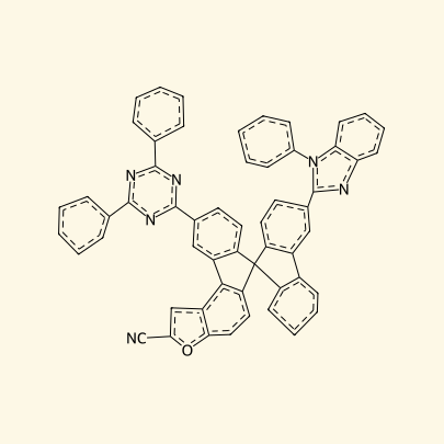 N#Cc1cc2c3c(ccc2o1)C1(c2ccccc2-c2cc(-c4nc5ccccc5n4-c4ccccc4)ccc21)c1ccc(-c2nc(-c4ccccc4)nc(-c4ccccc4)n2)cc1-3